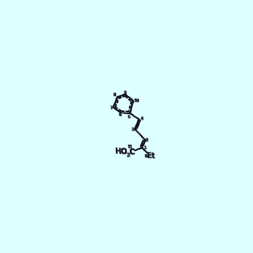 CCC(=CC=Cc1ccccc1)C(=O)O